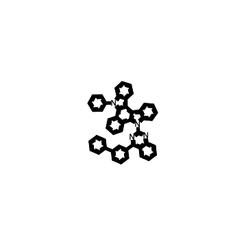 c1ccc(-c2cccc(-c3nc(-n4c5ccccc5c5c6c7ccccc7n(-c7ccccc7)c6c6ccccc6c54)nc4ccccc34)c2)cc1